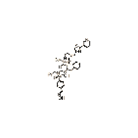 CC[C@H](C)[C@@H](C(=O)N[C@@H](Cc1ccccc1)[C@H](O)CN(CC(C)C)S(=O)(=O)c1ccc(C=NO)cc1)N1CCN(Cc2csc(-c3cccnc3)n2)C1=O